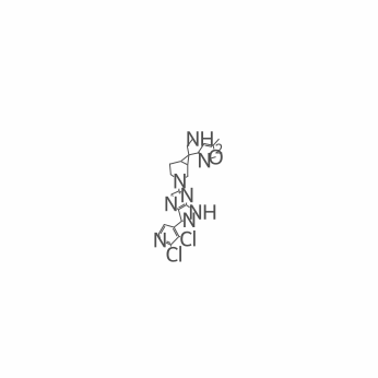 Cc1cc(C2(CN)C3CCN(c4cnc5c(-c6ccnc(Cl)c6Cl)n[nH]c5n4)CC32)no1